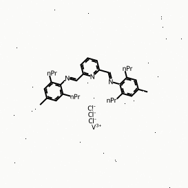 CCCc1cc(C)cc(CCC)c1N=Cc1cccc(C=Nc2c(CCC)cc(C)cc2CCC)n1.[Cl-].[Cl-].[Cl-].[V+3]